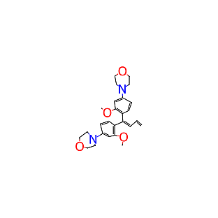 C=CC=C(c1ccc(N2CCOCC2)cc1OC)c1ccc(N2CCOCC2)cc1OC